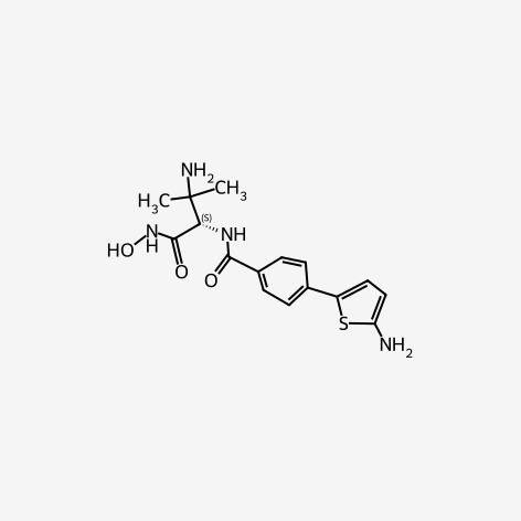 CC(C)(N)[C@H](NC(=O)c1ccc(-c2ccc(N)s2)cc1)C(=O)NO